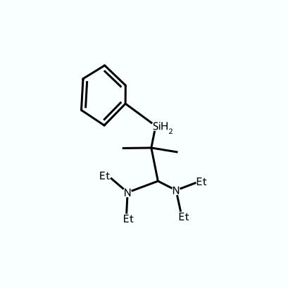 CCN(CC)C(N(CC)CC)C(C)(C)[SiH2]c1ccccc1